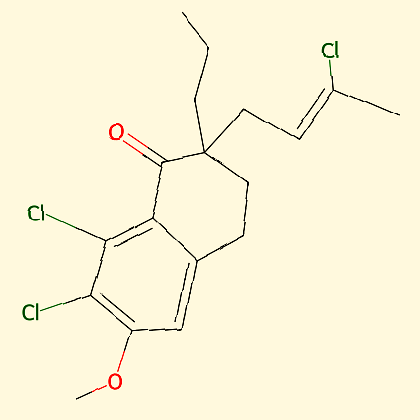 CCCC1(CC=C(C)Cl)CCc2cc(OC)c(Cl)c(Cl)c2C1=O